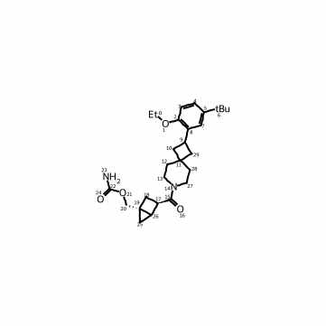 CCOc1ccc(C(C)(C)C)cc1C1CC2(CCN(C(=O)[C@@H]3C[C@]4(COC(N)=O)CC34)CC2)C1